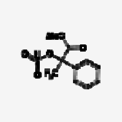 COC(=O)C(O[SH](=O)=O)(c1ccccc1)C(F)(F)F